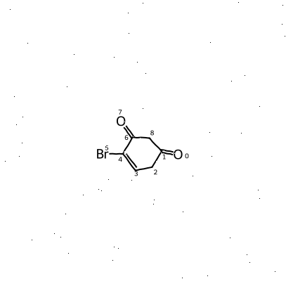 O=C1CC=C(Br)C(=O)C1